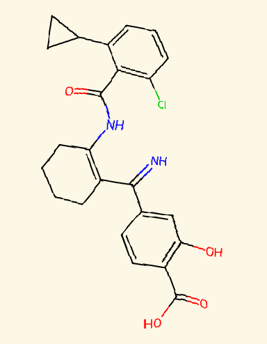 N=C(C1=C(NC(=O)c2c(Cl)cccc2C2CC2)CCCC1)c1ccc(C(=O)O)c(O)c1